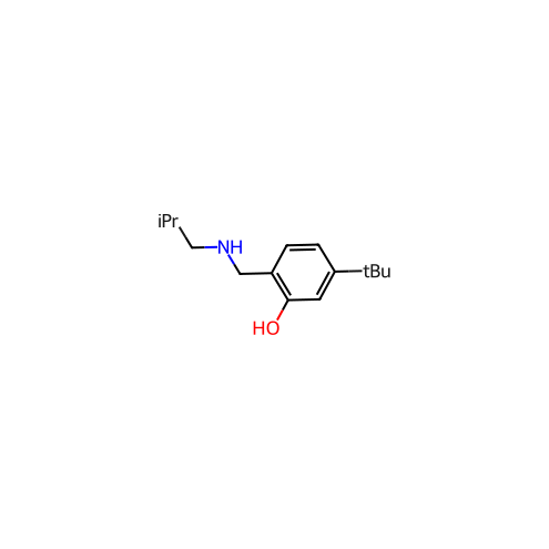 CC(C)CNCc1ccc(C(C)(C)C)cc1O